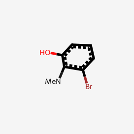 CNc1c(O)cccc1Br